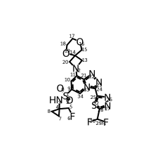 O=S(=O)(NC1(CF)CC1)c1cc(N2CC3(COCCO3)C2)c2nnc(-c3nnc(C(F)F)s3)n2c1